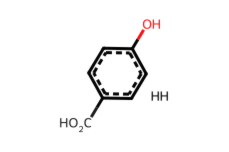 O=C(O)c1ccc(O)cc1.[HH]